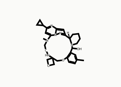 Cc1ccc2c(c1)C(O)N1CCCC[C@H]1c1cc3nc(C4CC4)cc(n3n1)N(C)CCNC1(COC1)CO2